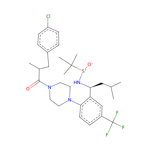 CC(C)C[C@H](N[S+]([O-])C(C)(C)C)c1cc(C(F)(F)F)ccc1N1CCN(C(=O)C(C)Cc2ccc(Cl)cc2)CC1